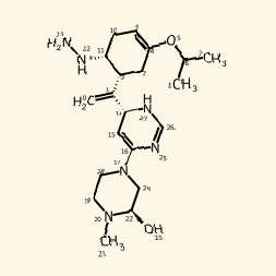 C=C([C@H]1CC(OC(C)C)=CC[C@H]1NN)[C@H]1C=C(N2CCN(C)[C@H](O)C2)N=CN1